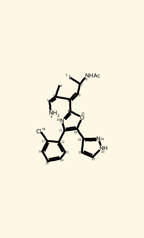 CC(=O)NC(I)/C=C(\C(C)=C/N)c1nc(-c2ccccc2Cl)c(-c2cc[nH]n2)o1